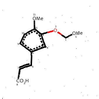 COCOc1cc(C=CC(=O)O)ccc1OC